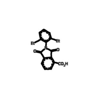 CCc1cccc(CC)c1N1C(=O)c2cccc(C(=O)O)c2C1=O